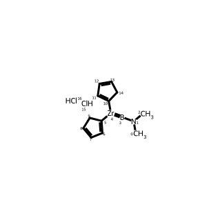 CN(C)[B]=[Zr]([C]1=CC=CC1)[C]1=CC=CC1.Cl.Cl